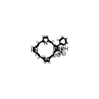 O=P(O)(O)c1c(-c2ccccc2)c2cc3nc(cc4ccc(cc5nc(cc1n2O)C=C5)[nH]4)C=C3